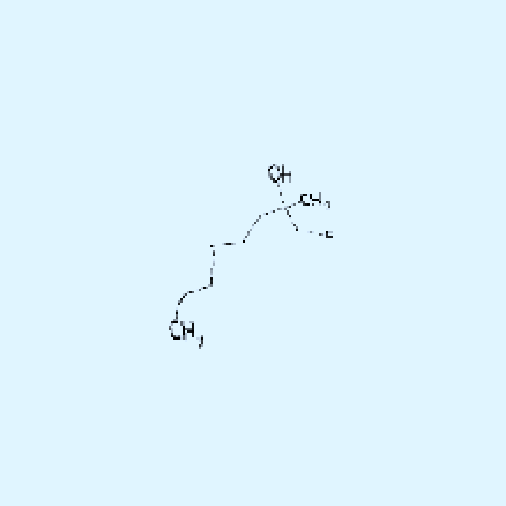 CCCCCCC(C)(O)CF